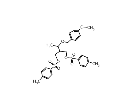 COc1ccc(COC(C)C(COS(=O)(=O)c2ccc(C)cc2)COS(=O)(=O)c2ccc(C)cc2)cc1